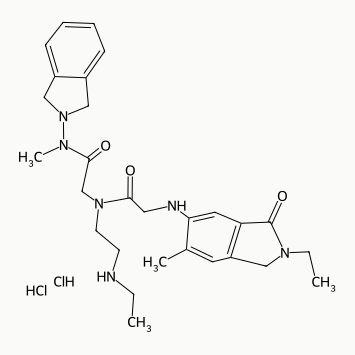 CCNCCN(CC(=O)N(C)N1Cc2ccccc2C1)C(=O)CNc1cc2c(cc1C)CN(CC)C2=O.Cl.Cl